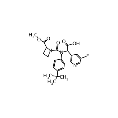 COC(=O)C1CCN1C(=O)N(c1ccc(C(C)(C)C)cc1)C(C(=O)O)c1cncc(F)c1